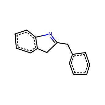 c1ccc(CC2=Nc3ccccc3C2)cc1